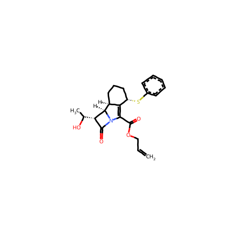 C=CCOC(=O)C1=C2[C@@H](Sc3ccccc3)CCC[C@@H]2[C@@H]2[C@@H](C(C)O)C(=O)N12